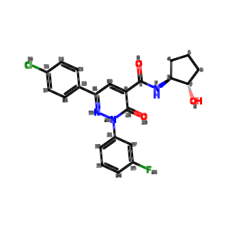 O=C(N[C@H]1CCC[C@@H]1O)c1cc(-c2ccc(Cl)cc2)nn(-c2cccc(F)c2)c1=O